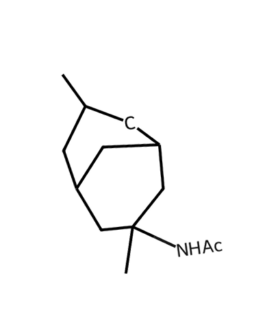 CC(=O)NC1(C)CC2CC(C)CC(C2)C1